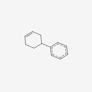 C1=CCC(c2ccccc2)CC1